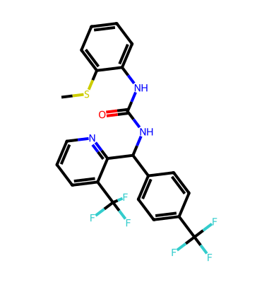 CSc1ccccc1NC(=O)NC(c1ccc(C(F)(F)F)cc1)c1ncccc1C(F)(F)F